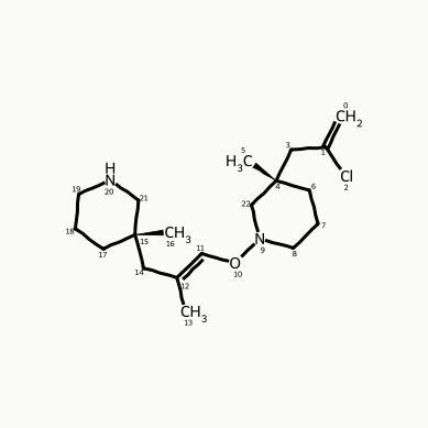 C=C(Cl)C[C@]1(C)CCCN(O/C=C(\C)C[C@]2(C)CCCNC2)C1